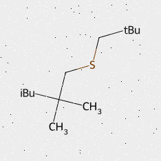 CCC(C)C(C)(C)CSCC(C)(C)C